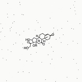 C[C@]12CCC(=O)C=C1CC[C@@H]1[C@@H]2C(=O)C[C@@]2(C)[C@H]1CC(O)[C@]2(O)C(=O)CO